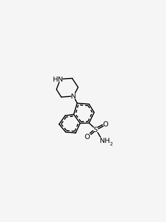 NS(=O)(=O)c1ccc(N2CCNCC2)c2ccccc12